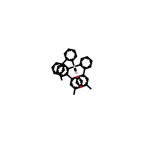 Cc1cccc(-c2ccccc2P(=O)(c2ccccc2-c2cccc(C)c2)c2ccccc2-c2cccc(C)c2)c1